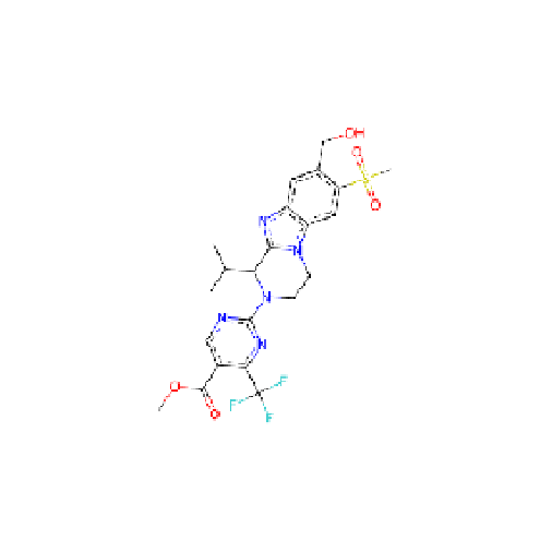 COC(=O)c1cnc(N2CCn3c(nc4cc(CO)c(S(C)(=O)=O)cc43)C2C(C)C)nc1C(F)(F)F